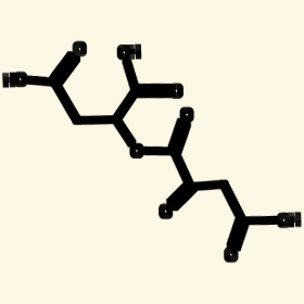 O=C(O)CC(=O)C(=O)OC(CC(=O)O)C(=O)O